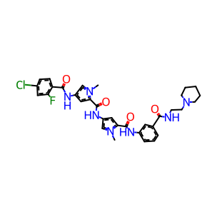 Cn1cc(NC(=O)c2ccc(Cl)cc2F)cc1C(=O)Nc1cc(C(=O)Nc2cccc(C(=O)NCCN3CCCCC3)c2)n(C)c1